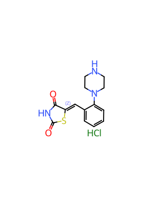 Cl.O=C1NC(=O)/C(=C/c2ccccc2N2CCNCC2)S1